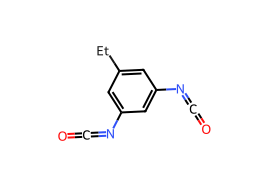 CCc1cc(N=C=O)cc(N=C=O)c1